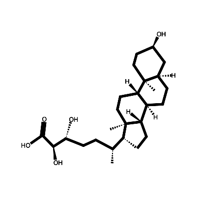 C[C@H](CC[C@@H](O)[C@@H](O)C(=O)O)[C@H]1CC[C@H]2[C@@H]3CC[C@@H]4C[C@H](O)CC[C@]4(C)[C@H]3CC[C@]12C